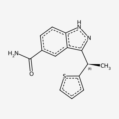 C[C@@H](c1cccs1)c1n[nH]c2ccc(C(N)=O)cc12